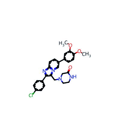 COc1ccc(-c2ccc3nc(-c4ccc(Cl)cc4)c(CN4CCNC(=O)C4)n3c2)cc1OC